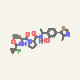 Cc1ncsc1-c1ccc(C(C)NC(=O)C2CCCN2C(=O)C(NC(=O)C2(F)CC2)C(C)(C)C)c(O)c1